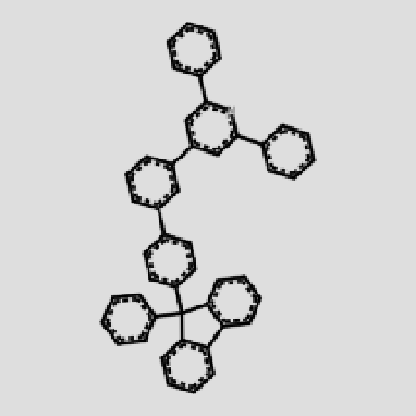 c1ccc(-c2cc(-c3cccc(-c4ccc(C5(c6ccccc6)c6ccccc6-c6ccccc65)cc4)c3)cc(-c3ccccc3)n2)cc1